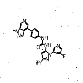 CC(C)c1cc(NC(=O)Nc2ccc(-c3cncc4c3cnn4C)cc2)n(-c2cncc(F)c2)n1